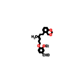 CCOc1cc(C=O)ccc1OCCC=C(C)CCc1cccc2c1COCO2